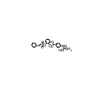 N=C(N)Nc1ccc(C(=O)Oc2cccc(OS(=O)(=O)/C=C/c3ccccc3)c2Cl)cc1